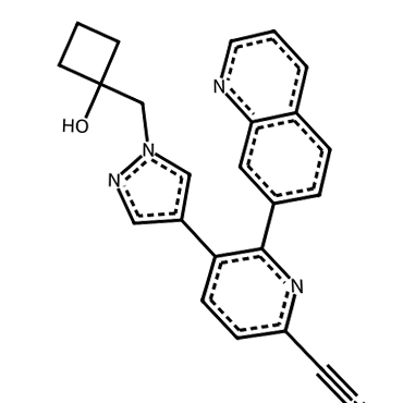 N#Cc1ccc(-c2cnn(CC3(O)CCC3)c2)c(-c2ccc3cccnc3c2)n1